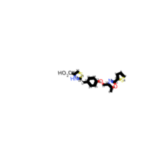 Cc1oc(-c2cccs2)nc1COc1ccc(C[C@@H]2NC(C(=O)O)CS2)cc1